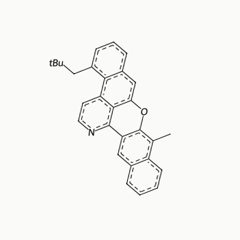 Cc1c2c(cc3ccccc13)-c1nccc3c1c(cc1cccc(CC(C)(C)C)c13)O2